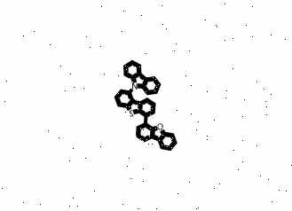 c1ccc2c(c1)oc1c(-c3cccc4c3sc3cccc(-n5c6ccccc6c6ccccc65)c34)cccc12